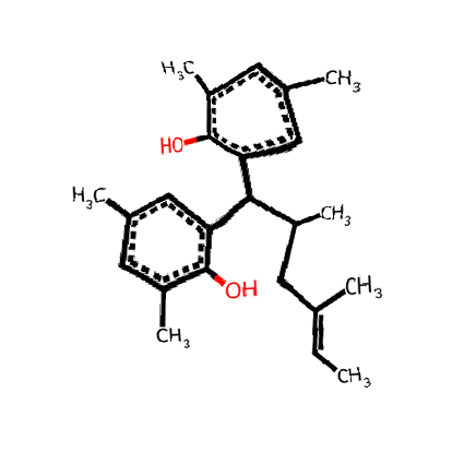 C/C=C(\C)CC(C)C(c1cc(C)cc(C)c1O)c1cc(C)cc(C)c1O